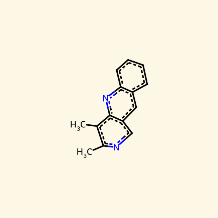 Cc1ncc2cc3ccccc3nc2c1C